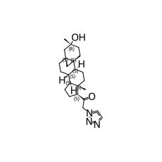 C[C@@]1(O)CC[C@@]23C[C@@]2(CC[C@H]2[C@@H]4CC[C@H](C(=O)Cn5ccnn5)[C@@]4(C)CC[C@@H]23)C1